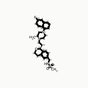 C[C@@H]1CN(c2cccc3cc(F)ccc23)CCN1CC[C@@H]1OCCc2cc(CNS(C)(=O)=O)ccc21